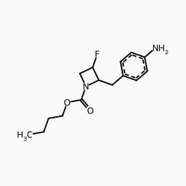 CCCCOC(=O)N1CC(F)C1Cc1ccc(N)cc1